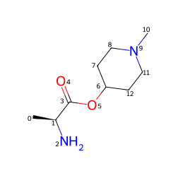 C[C@H](N)C(=O)OC1CCN(C)CC1